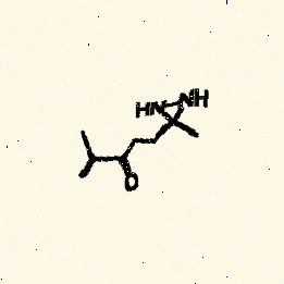 CC(C)C(=O)CCC1(C)NN1